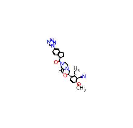 COc1ccc([C@@H]2CN3CCN(C(=O)C4CCc5cc(-n6cnnn6)ccc54)C[C@H]3CO2)c(C)c1C#N